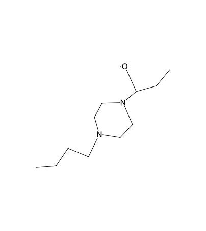 CCCCN1CCN(C([O])CC)CC1